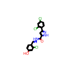 O=C(N/N=C/c1ccc(O)cc1Cl)c1cc(-c2ccc(Cl)cc2Cl)n[nH]1